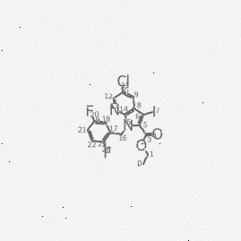 CCOC(=O)c1c(I)c2cc(Cl)cnc2n1Cc1cc(F)ccc1F